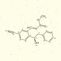 C=C(C(=O)OC)[C@H](c1ccccc1)[C@@H](O)c1ccc(C#N)cc1